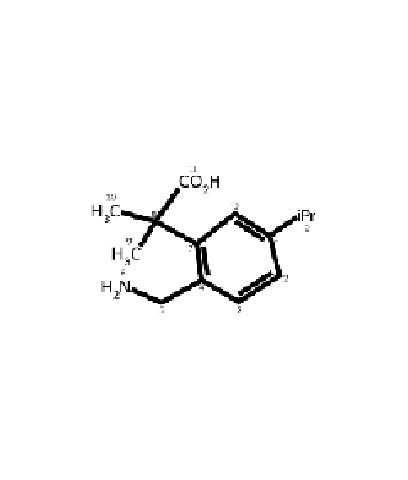 CC(C)c1ccc(CN)c(C(C)(C)C(=O)O)c1